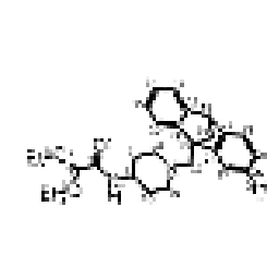 CCOC(OCC)C(=O)NC1CCN(CC23CC(c4ccccc42)c2ccc(Cl)cc23)CC1